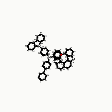 c1ccc(-c2ccc(N(c3ccc(-c4cccc5oc6ccc7ccc8oc9ccccc9c8c7c6c45)cc3)c3ccc(-n4c5ccccc5c5ccccc54)cc3)cc2)cc1